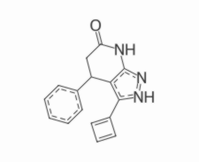 O=C1CC(c2ccccc2)c2c(n[nH]c2C2=CC=C2)N1